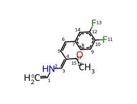 C=CN/C=C(\C=C/c1ccc(F)c(F)c1)C(C)=O